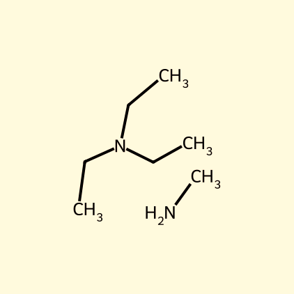 CCN(CC)CC.CN